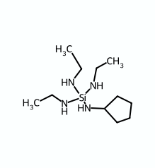 CCN[Si](NCC)(NCC)NC1CCCC1